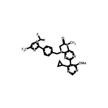 COc1ncnc(C2CC2)c1-c1ncc2c(n1)N(Cc1ccc(-c3nc(C(F)(F)F)cn3C(F)F)cc1)CC(=O)N2C